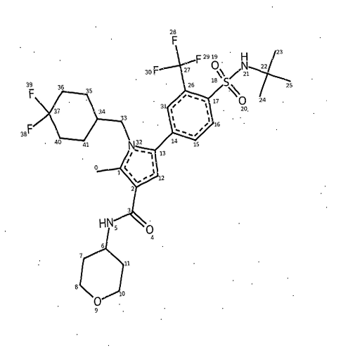 Cc1c(C(=O)NC2CCOCC2)cc(-c2ccc(S(=O)(=O)NC(C)(C)C)c(C(F)(F)F)c2)n1CC1CCC(F)(F)CC1